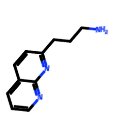 NCCCc1ccc2cccnc2n1